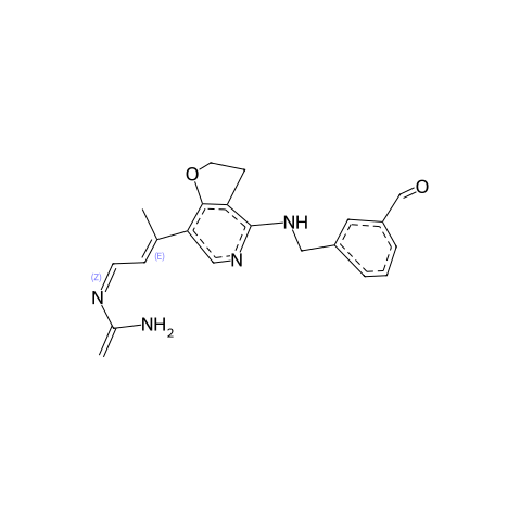 C=C(N)/N=C\C=C(/C)c1cnc(NCc2cccc(C=O)c2)c2c1OCC2